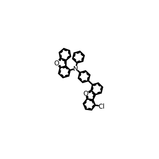 Clc1cccc2oc3c(-c4ccc(N(c5ccccc5)c5cccc6oc7ccccc7c56)cc4)cccc3c12